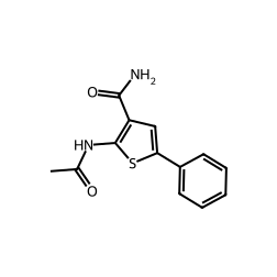 CC(=O)Nc1sc(-c2ccccc2)cc1C(N)=O